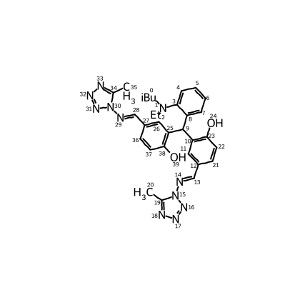 CCC(C)N(CC)c1ccccc1C(c1cc(C=Nn2nnnc2C)ccc1O)c1cc(C=Nn2nnnc2C)ccc1O